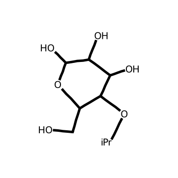 CC(C)OC1C(CO)OC(O)C(O)C1O